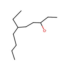 CCCCC(CC)CCC([O])CC